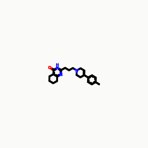 Cc1ccc(C2=CCN(CCCc3nc4c(c(=O)[nH]3)CCCC4)CC2)cc1